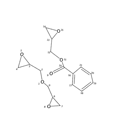 C(OCC1CO1)C1CO1.O=C(OCC1CO1)c1ccccc1